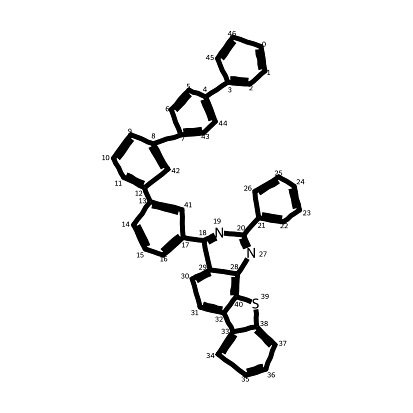 c1ccc(-c2ccc(-c3cccc(-c4cccc(-c5nc(-c6ccccc6)nc6c5ccc5c7ccccc7sc56)c4)c3)cc2)cc1